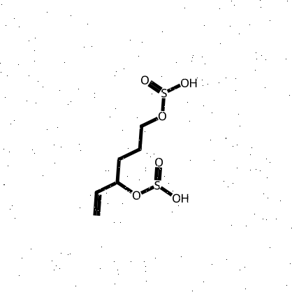 C=CC(CCCOS(=O)O)OS(=O)O